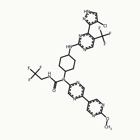 COc1ncc(-c2cnc(N(C(=O)NCC(F)(F)F)C3CCC(Nc4ncc(C(F)(F)F)c(-c5n[nH]cc5Cl)n4)CC3)cn2)cn1